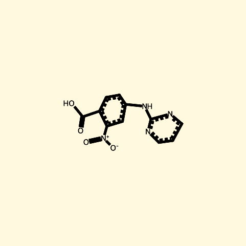 O=C(O)c1ccc(Nc2ncccn2)cc1[N+](=O)[O-]